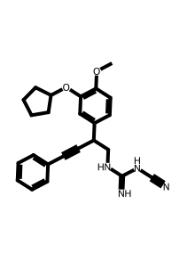 COc1ccc(C(C#Cc2ccccc2)CNC(=N)NC#N)cc1OC1CCCC1